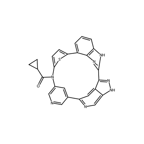 O=C(C1CC1)n1c2cncc(c2)c2cc3c(cn2)[nH]nc3c2nc3c(cccc3c3ccc1s3)[nH]2